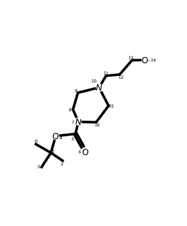 CC(C)(C)OC(=O)N1CCN(CCC[O])CC1